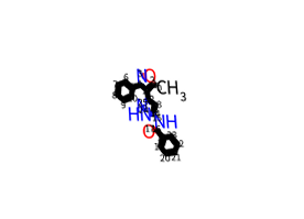 Cc1onc(-c2ccccc2)c1-c1cc(NC(=O)c2ccccc2)[nH]n1